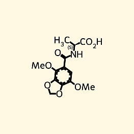 COc1cc(C(=O)N[C@@H](C)C(=O)O)c(OC)c2c1OCO2